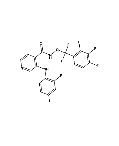 O=C(NOC(F)(F)c1ccc(F)c(F)c1F)c1ccncc1Nc1ccc(I)cc1F